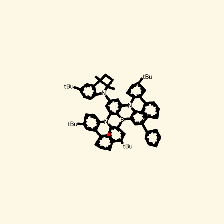 CC(C)(C)c1ccc2c(c1)B1c3cc(-c4ccccc4)ccc3N(c3ccc(C(C)(C)C)cc3-c3ccccc3)c3cc(N4c5ccc(C(C)(C)C)cc5C5(C)CCC45C)cc(c31)N2c1ccc(C(C)(C)C)cc1-c1ccccc1